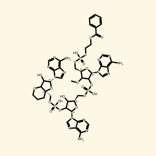 COC1C(OP(=O)(O)OC[C@H]2O[C@@H](n3cnc4c(N)ncnc43)C(OP(=O)(O)OC[C@]34CCCOC3C(O)[C@H](n3cnc5c(N)ncnc53)O4)C2O)[C@H](n2cnc3c(N)ncnc32)O[C@@H]1COP(=O)(O)SCCOC(=O)c1ccccc1